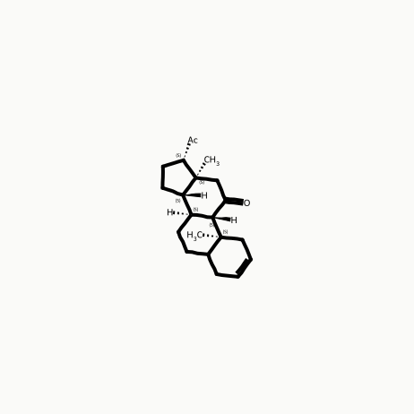 CC(=O)[C@H]1CC[C@H]2[C@@H]3CCC4CC=CC[C@]4(C)[C@H]3C(=O)C[C@]12C